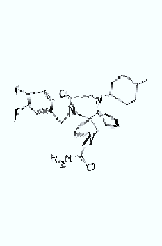 CC1CCC(N2CC(=O)N(Cc3ccc(F)c(F)c3)C3(CN(C(N)=O)C3)C2=O)CC1